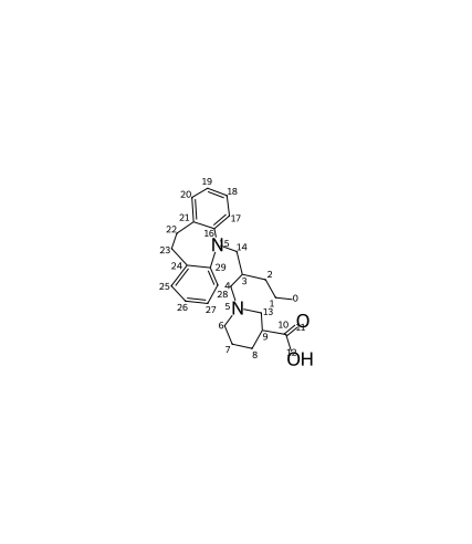 CCCC(CN1CCCC(C(=O)O)C1)CN1c2ccccc2CCc2ccccc21